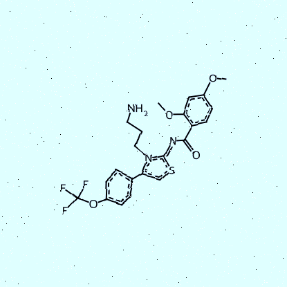 COc1ccc(C(=O)/N=c2\scc(-c3ccc(OC(F)(F)F)cc3)n2CCCN)c(OC)c1